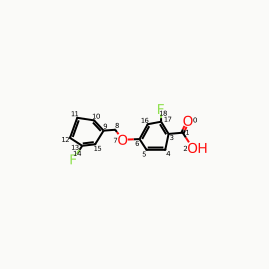 O=C(O)c1ccc(OCc2cccc(F)c2)cc1F